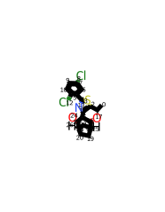 CCc1sc(-c2cc(Cl)ccc2Cl)nc1C1C(=O)[C@@H]2CC[C@@H](C2)C1=O